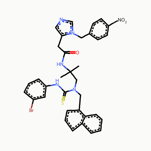 CC(C)(CN(Cc1cccc2ccccc12)C(=S)Nc1cccc(Br)c1)NC(=O)Cc1cncn1Cc1ccc([N+](=O)[O-])cc1